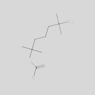 CC(C)(N)CCCC(C)(C)OC(N)=O